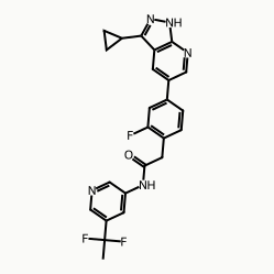 CC(F)(F)c1cncc(NC(=O)Cc2ccc(-c3cnc4[nH]nc(C5CC5)c4c3)cc2F)c1